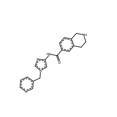 O=C(Nc1cn(Cc2cccnc2)cn1)c1ccc2c(c1)CCNC2